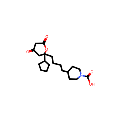 O=C1CC(=O)OC(CCCCC2CCN(C(=O)O)CC2)(C2CCCC2)C1